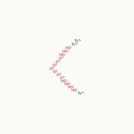 [O-2].[O-2].[O-2].[O-2].[O-2].[O-2].[O-2].[OH-].[OH-].[OH-].[OH-].[OH-].[OH-].[OH-].[Tc+7].[Tc+7].[Tc+7]